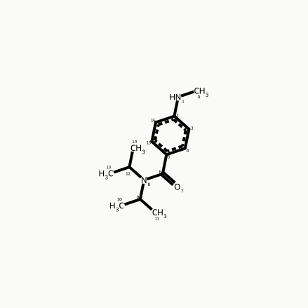 CNc1ccc(C(=O)N(C(C)C)C(C)C)cc1